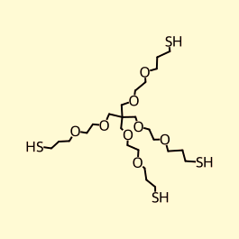 SCCCOCCOCC(COCCOCCCS)(COCCOCCCS)COCCOCCCS